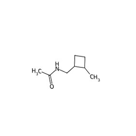 CC(=O)NCC1CCC1C